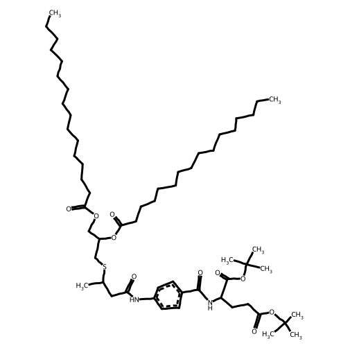 CCCCCCCCCCCCCCCC(=O)OCC(CSC(C)CC(=O)Nc1ccc(C(=O)NC(CCC(=O)OC(C)(C)C)C(=O)OC(C)(C)C)cc1)OC(=O)CCCCCCCCCCCCCCC